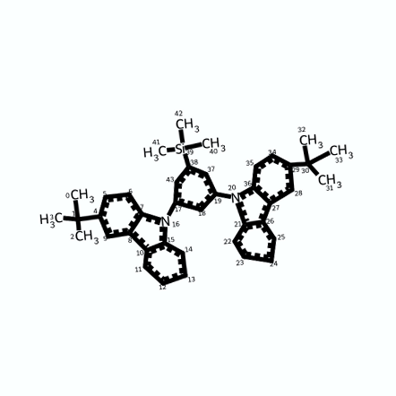 CC(C)(C)c1ccc2c(c1)c1ccccc1n2-c1cc(-n2c3ccccc3c3cc(C(C)(C)C)ccc32)cc([Si](C)(C)C)c1